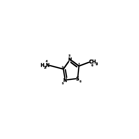 Cc1nc(N)ns1